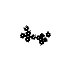 c1ccc(-c2c3ccccc3c(-c3ccc(-c4ccc5c(c4)-c4ccccc4C54c5ccccc5N(c5ccccc5)c5ccccc54)nc3)c3ccc(-c4ccncc4)cc23)cc1